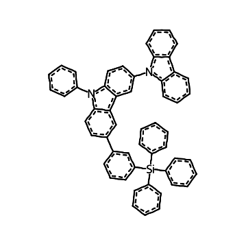 c1ccc(-n2c3ccc(-c4cccc([Si](c5ccccc5)(c5ccccc5)c5ccccc5)c4)cc3c3cc(-n4c5ccccc5c5ccccc54)ccc32)cc1